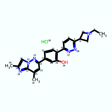 CCN1CC(c2ccc(-c3ccc(-c4cc(C)c5nc(C)cn5n4)cc3O)nn2)C1.Cl